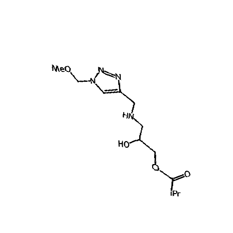 COCn1cc(CNCC(O)COC(=O)C(C)C)nn1